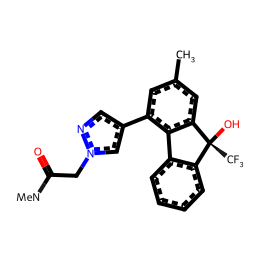 CNC(=O)Cn1cc(-c2cc(C)cc3c2-c2ccccc2[C@]3(O)C(F)(F)F)cn1